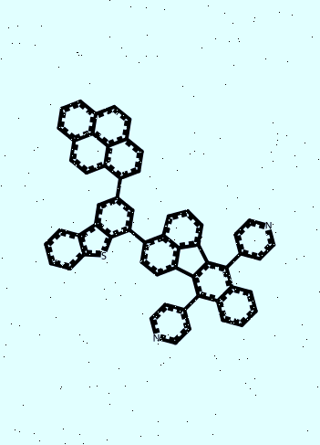 c1cc2ccc3ccc(-c4cc(-c5ccc6c7c(cccc57)-c5c-6c(-c6ccncc6)c6ccccc6c5-c5ccncc5)c5sc6ccccc6c5c4)c4ccc(c1)c2c34